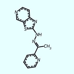 C/C(=N\Nc1nc2ccncc2s1)c1ccccn1